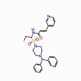 CCC(NC(=O)C=Cc1cccnc1)S(=O)(=O)N1CCN(C(c2ccccc2)c2ccccc2)CC1